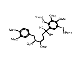 CCCCCOc1cc(C(C#N)(CCC(OC(C)=O)C(Cc2ccc(OC)c(OC)c2)[N+](=O)[O-])C(C)C)c(OCCCCC)c(OC)c1OC